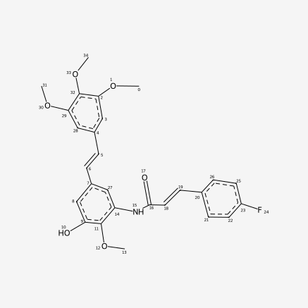 COc1cc(/C=C/c2cc(O)c(OC)c(NC(=O)/C=C/c3ccc(F)cc3)c2)cc(OC)c1OC